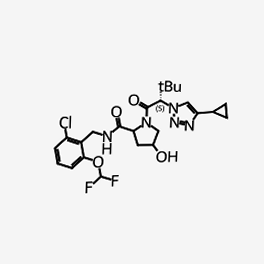 CC(C)(C)[C@@H](C(=O)N1CC(O)CC1C(=O)NCc1c(Cl)cccc1OC(F)F)n1cc(C2CC2)nn1